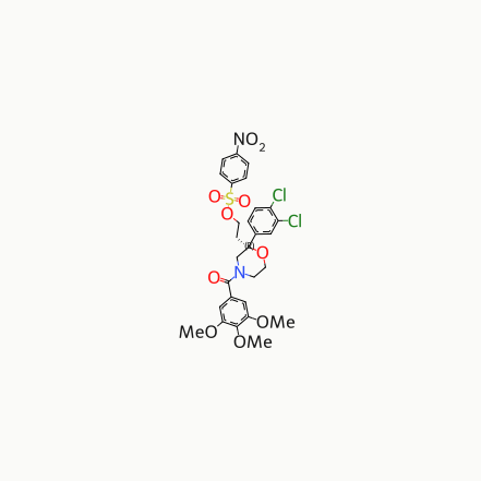 COc1cc(C(=O)N2CCO[C@](CCOS(=O)(=O)c3ccc([N+](=O)[O-])cc3)(c3ccc(Cl)c(Cl)c3)C2)cc(OC)c1OC